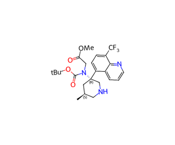 COC(=O)CN(C(=O)OC(C)(C)C)[C@]1(c2ccc(C(F)(F)F)c3ncccc23)CNC[C@@H](C)C1